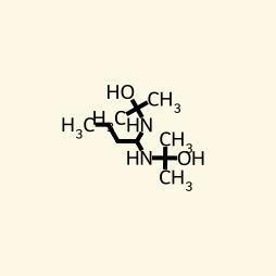 CCCC(NC(C)(C)O)NC(C)(C)O